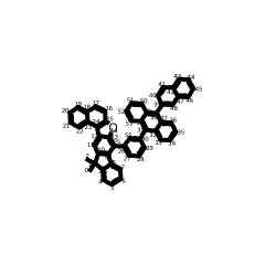 CC1(C)c2ccccc2-c2c1cc1c(oc3ccc4ccccc4c31)c2-c1cccc(-c2c3ccccc3c(-c3ccc4ccccc4c3)c3ccccc23)c1